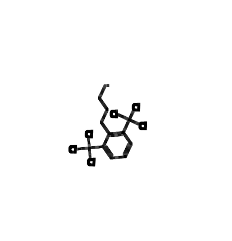 [CH2]CCCc1c(C(Cl)(Cl)Cl)cccc1C(Cl)(Cl)Cl